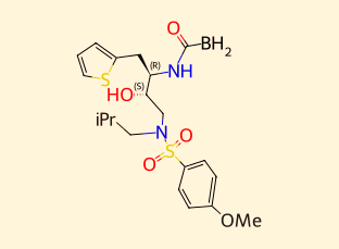 BC(=O)N[C@H](Cc1cccs1)[C@@H](O)CN(CC(C)C)S(=O)(=O)c1ccc(OC)cc1